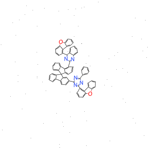 c1ccc(-c2nc(-c3ccc4c(c3)C3(c5ccccc5-4)c4ccccc4-c4c(-c5nc(-c6cccc7oc8ccccc8c67)c6ccccc6n5)cccc43)nc(-c3cccc4oc5ccccc5c34)n2)cc1